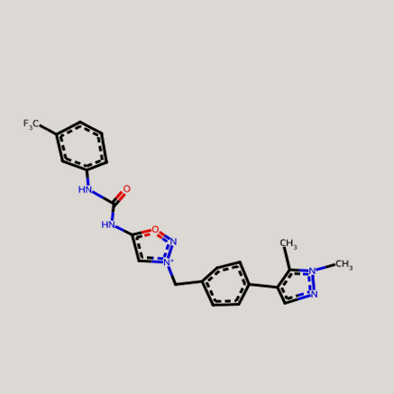 Cc1c(-c2ccc(C[n+]3cc(NC(=O)Nc4cccc(C(F)(F)F)c4)on3)cc2)cnn1C